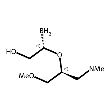 B[C@@H](CO)O[C@@H](CNC)COC